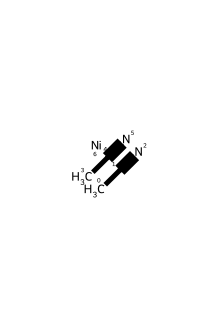 CC#N.CC#N.[Ni]